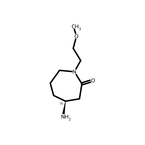 COCCN1CCC[C@H](N)CC1=O